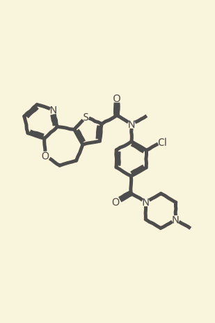 CN1CCN(C(=O)c2ccc(N(C)C(=O)c3cc4c(s3)-c3ncccc3OCC4)c(Cl)c2)CC1